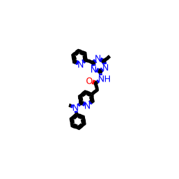 Cc1nc(NC(=O)Cc2ccc(N(C)c3ccccc3)nc2)nc(-c2ccccn2)n1